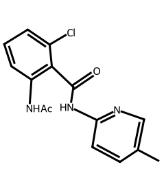 CC(=O)Nc1cccc(Cl)c1C(=O)Nc1ccc(C)cn1